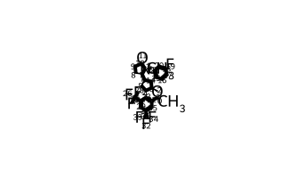 C[C@@H](O[C@H]1CC[C@@H]([C@H]2CCC(=O)N2C)[C@@H]1c1ccc(F)cc1)c1cc(C(F)(F)F)cc(C(F)(F)F)c1